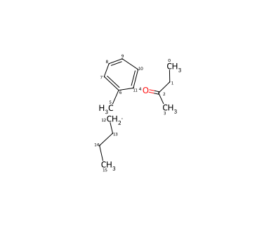 CCC(C)=O.Cc1ccccc1.[CH2]CCC